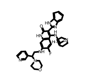 O=c1[nH]c2cc(NCC(c3cccnc3)N3CCOCC3)c(F)cc2c(N[C@H]2CN3CCC2CC3)c1-c1nc2ccccc2[nH]1